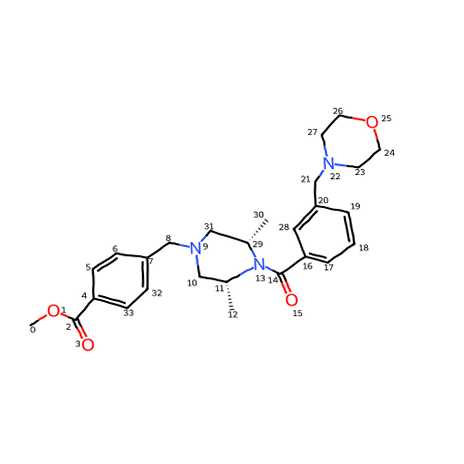 COC(=O)c1ccc(CN2C[C@@H](C)N(C(=O)c3cccc(CN4CCOCC4)c3)[C@@H](C)C2)cc1